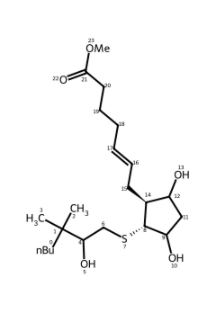 CCCCC(C)(C)C(O)CS[C@H]1C(O)CC(O)[C@@H]1CC=CCCCC(=O)OC